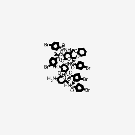 N[C@H]1CCC(CNS(=O)(=O)c2ccc(Br)cc2)O[C@@H]1OC1C(NS(=O)(=O)c2ccc(Br)cc2)CC(NS(=O)(=O)c2ccc(Br)cc2)[C@@H](O[C@@H]2OC3COC4(CCCCC4)CC[C@@H]3C(NS(=O)(=O)c3ccc(Br)cc3)[C@@H]2OS(=O)(=O)c2ccc(Br)cc2)[C@H]1O